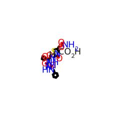 CN(C(=O)NCc1ccccc1)C(=O)NC(C(=O)NC1C(=O)N2C(C(=O)O)=C(COC(N)=O)CS[C@@H]12)c1ccco1